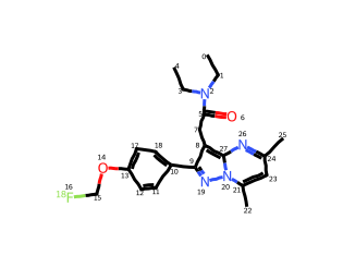 CCN(CC)C(=O)Cc1c(-c2ccc(OC[18F])cc2)nn2c(C)cc(C)nc12